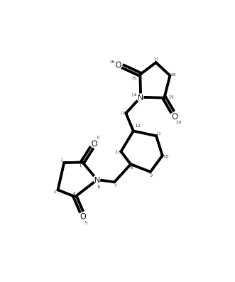 O=C1CCC(=O)N1CC1CCCC(CN2C(=O)CCC2=O)C1